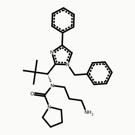 CC(C)(C)[C@H](c1nc(-c2ccccc2)cn1Cc1ccccc1)N(CCCN)C(=O)N1CCCC1